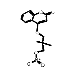 CC(C)(COc1cc(=O)oc2ccccc12)CO[N+](=O)[O-]